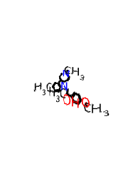 COc1ccc([C@@](C)(O)Cn2c3c(c4cc(C)ccc42)CCN(C)CC3)cc1